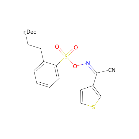 CCCCCCCCCCCCc1ccccc1S(=O)(=O)ON=C(C#N)c1ccsc1